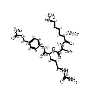 BNCCCC[C@H](NC(C)=O)C(=O)NC(C(=O)N[C@@H](CCCNC(N)=O)C(=O)Nc1ccc(COC(=O)C(C)(C)C)cc1)C(C)C